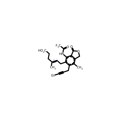 CCC#CCc1c(C)c2c(c(NC(=O)C(F)(F)F)c1C/C=C(\C)CCC(=O)O)C(=O)OC2